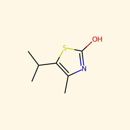 Cc1nc(O)sc1C(C)C